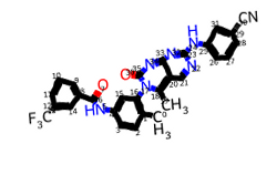 Cc1ccc(NC(=O)c2cccc(C(F)(F)F)c2)cc1-n1c(C)c2cnc(Nc3cccc(C#N)c3)nc2nc1=O